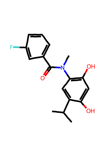 CC(C)c1cc(N(C)C(=O)c2cccc(F)c2)c(O)cc1O